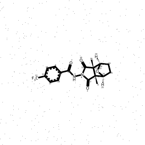 C[C@@]12C(=O)N(NC(=O)c3ccc(C(F)(F)F)cc3)C(=O)[C@]1(C)[C@H]1CC[C@@H]2O1